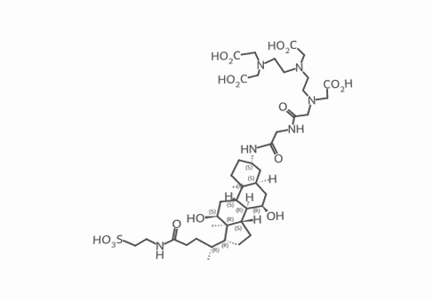 C[C@H](CCC(=O)NCCS(=O)(=O)O)[C@H]1CC[C@H]2[C@@H]3[C@H](O)C[C@@H]4C[C@@H](NC(=O)CNC(=O)CN(CCN(CCN(CC(=O)O)CC(=O)O)CC(=O)O)CC(=O)O)CC[C@]4(C)[C@H]3C[C@H](O)[C@]12C